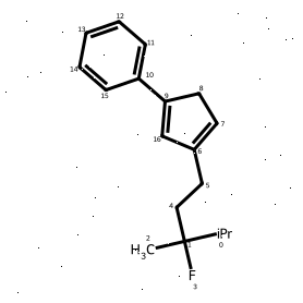 CC(C)C(C)(F)CCC1=CCC(c2ccccc2)=C1